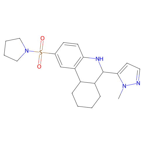 Cn1nccc1C1Nc2ccc(S(=O)(=O)N3CCCC3)cc2C2CCCCC21